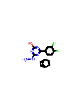 C1=CC2=CC=C1C2.NNc1nc(O)nc(-c2ccc(Cl)c(Cl)c2)n1